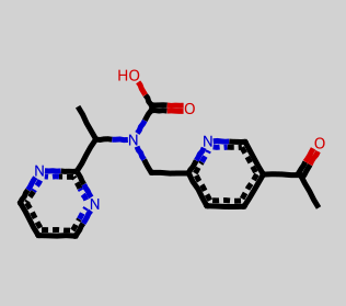 CC(=O)c1ccc(CN(C(=O)O)C(C)c2ncccn2)nc1